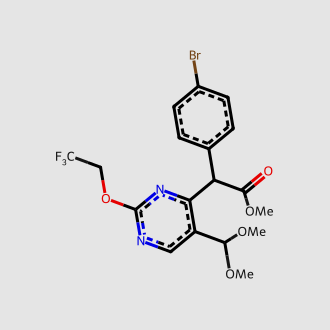 COC(=O)C(c1ccc(Br)cc1)c1nc(OCC(F)(F)F)ncc1C(OC)OC